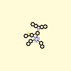 c1ccc2cc(-c3nc(-c4ccc5ccccc5c4)nc(-c4ccc(-n5c6cc7ccccc7cc6c6cc7ccccc7cc65)cc4-c4ccc5c(c4)sc4ccccc45)n3)ccc2c1